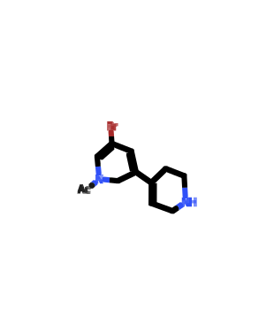 CC(=O)N1C=C(Br)C=C(C2=CCNCC2)C1